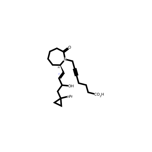 CCCC1(CC(O)/C=C/[C@H]2CCCCC(=O)N2CC#CCCCC(=O)O)CC1